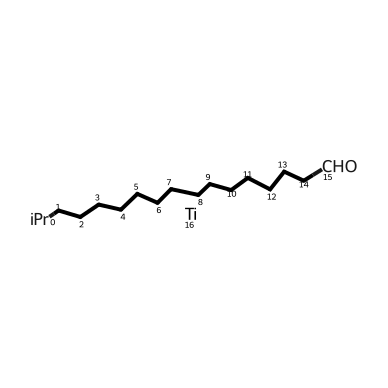 CC(C)CCCCCCCCCCCCCCC=O.[Ti]